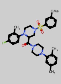 COc1cccc(S(=O)(=O)N2CCN(c3ccc(F)cc3C)C(C(=O)N3CCN(c4cc(C)ccc4C)CC3)C2)c1